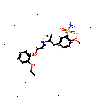 CCOc1ccccc1OCCNC(C)Cc1ccc(OC)c(S(N)(=O)=O)c1.[CaH2]